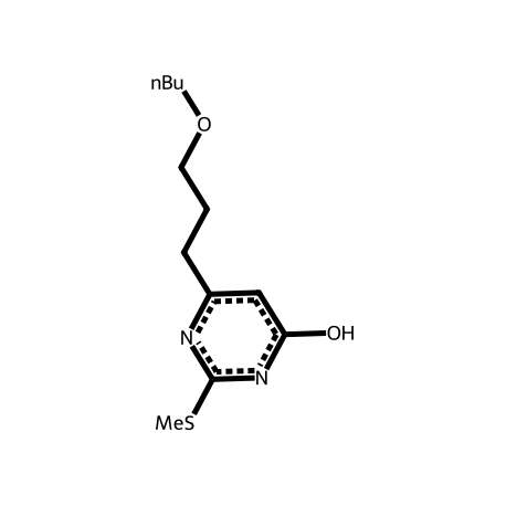 CCCCOCCCc1cc(O)nc(SC)n1